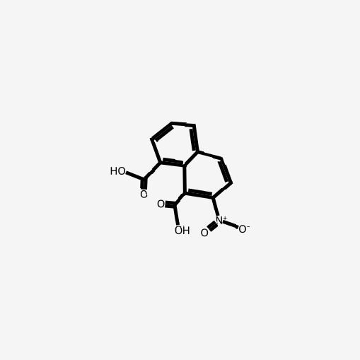 O=C(O)c1cccc2ccc([N+](=O)[O-])c(C(=O)O)c12